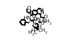 CC1(C)[C@@H]2[C@@H](C(=O)NC(C(N)=O)c3nncc4ccccc34)N(C(=O)[C@H](Cc3ccccc3)NC(=O)[C@H]3CCOC3)C[C@@H]21